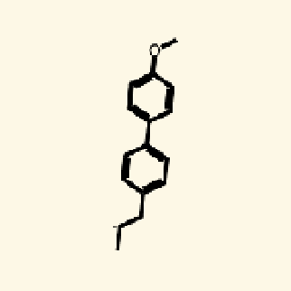 C[CH]Cc1ccc(-c2ccc(OC)cc2)cc1